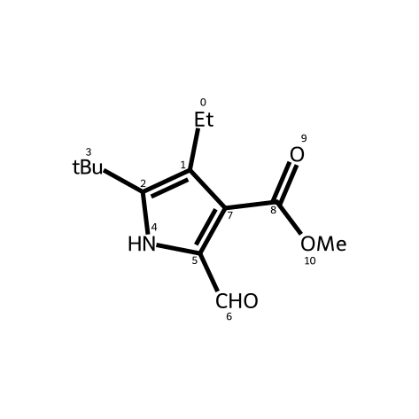 CCc1c(C(C)(C)C)[nH]c(C=O)c1C(=O)OC